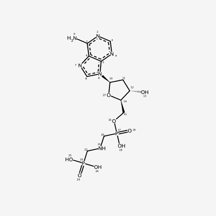 Nc1ncnc2c1ncn2[C@H]1C[C@H](O)[C@@H](COP(=O)(O)CNCP(=O)(O)O)O1